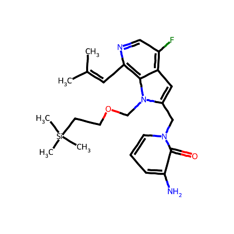 CC(C)=Cc1ncc(F)c2cc(Cn3cccc(N)c3=O)n(COCC[Si](C)(C)C)c12